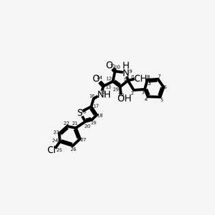 CC1(Cc2ccccc2)NC(=O)C(C(=O)NCc2ccc(-c3ccc(Cl)cc3)s2)=C1O